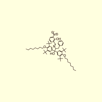 CCCCCCCCOc1c(C(C)(C)C)cc(C(O)(c2cc(C(C)(C)C)c(OCCCCCCCC)c(C(C)(C)C)c2)C(Cc2ccccc2)N=Cc2cccc([N+](=O)[O-])c2O)cc1C(C)(C)C